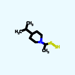 CC(C)C1CCN(C(C)SS)CC1